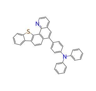 c1ccc(N(c2ccccc2)c2ccc(-c3cc4cccnc4c4c3ccc3c5ccccc5sc34)cc2)cc1